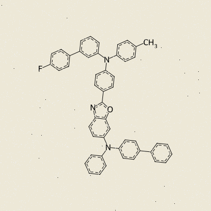 Cc1ccc(N(c2ccc(-c3nc4ccc(N(c5ccccc5)c5ccc(-c6ccccc6)cc5)cc4o3)cc2)c2cccc(-c3ccc(F)cc3)c2)cc1